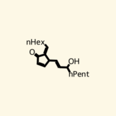 CCCCCC/C=C1\C(=O)C=CC1/C=C/C(O)CCCCC